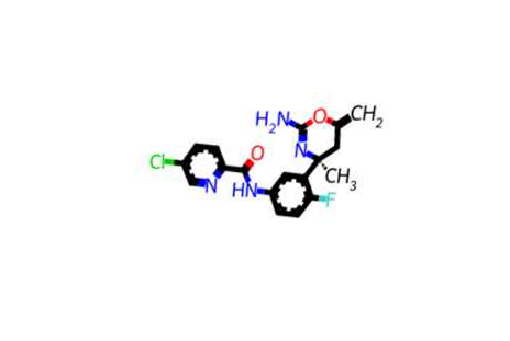 C=C1C[C@@](C)(c2cc(NC(=O)c3ccc(Cl)cn3)ccc2F)N=C(N)O1